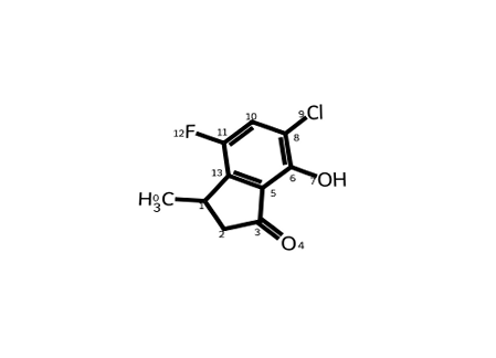 CC1CC(=O)c2c(O)c(Cl)cc(F)c21